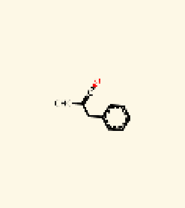 O=C=C(C=O)Cc1ccccc1